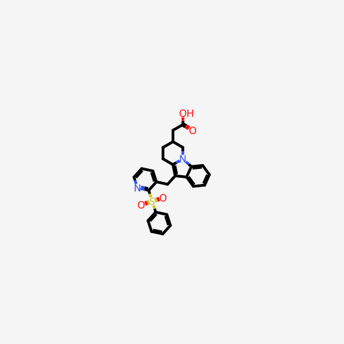 O=C(O)CC1CCc2c(Cc3cccnc3S(=O)(=O)c3ccccc3)c3ccccc3n2C1